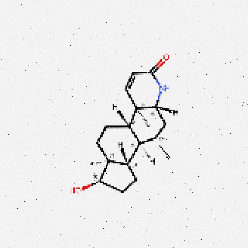 C[C@H]1C[C@H]2NC(=O)C=C[C@]2(C)[C@H]2CC[C@]3(C)[C@H](O)CC[C@H]3[C@H]12